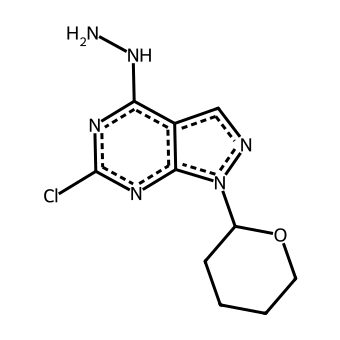 NNc1nc(Cl)nc2c1cnn2C1CCCCO1